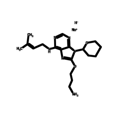 CC(C)=CCNc1ncnc2c1nc(OCCCN)n2C1CCCCO1.[H-].[Na+]